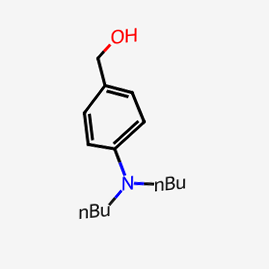 CCCCN(CCCC)c1ccc(CO)cc1